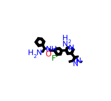 Cc1nn(C)cc1-c1cnc(N)c(-c2ccc(C(=O)NC(CN)c3ccccc3)c(F)c2)c1